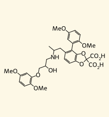 COc1ccc(OC)c(OCC(O)CNC(C)Cc2ccc3c(c2-c2cc(OC)ccc2OC)OC(C(=O)O)(C(=O)O)O3)c1